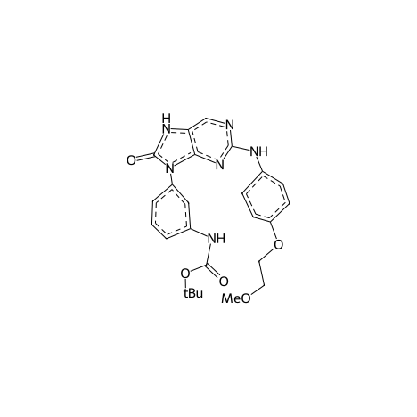 COCCOc1ccc(Nc2ncc3[nH]c(=O)n(-c4cccc(NC(=O)OC(C)(C)C)c4)c3n2)cc1